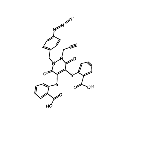 C#CCn1c(=O)c(Sc2ccccc2C(=O)O)c(Sc2ccccc2C(=O)O)c(=O)n1Cc1ccc(N=[N+]=[N-])cc1